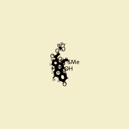 CCCC(=O)OCC(=O)[C@@]1(OC(=O)CSC)CC[C@H]2[C@@H]3C[C@H](C)C4=CC(=O)C=C[C@]4(C)[C@H]3[C@@H](O)C[C@@]21C